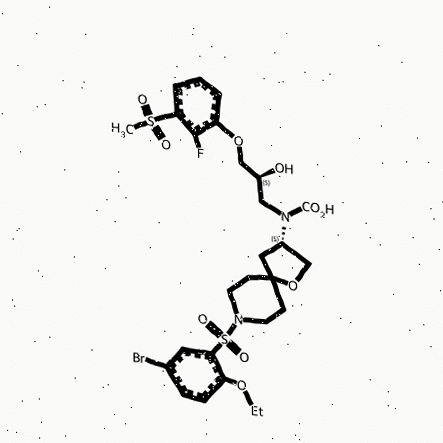 CCOc1ccc(Br)cc1S(=O)(=O)N1CCC2(CC1)C[C@H](N(C[C@H](O)COc1cccc(S(C)(=O)=O)c1F)C(=O)O)CO2